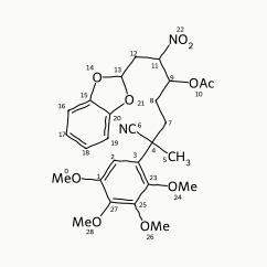 COc1cc(C(C)(C#N)CCC(OC(C)=O)C(CC2Oc3ccccc3O2)[N+](=O)[O-])c(OC)c(OC)c1OC